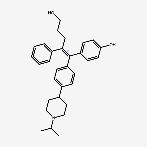 CC(C)N1CCC(c2ccc(/C(=C(/CCCO)C3=CC=C=C=C3)c3ccc(O)cc3)cc2)CC1